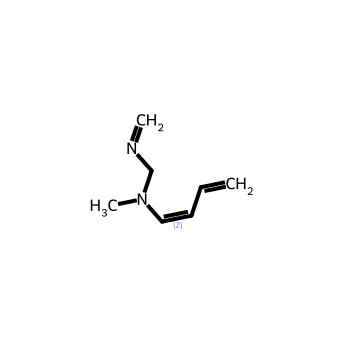 C=C/C=C\N(C)CN=C